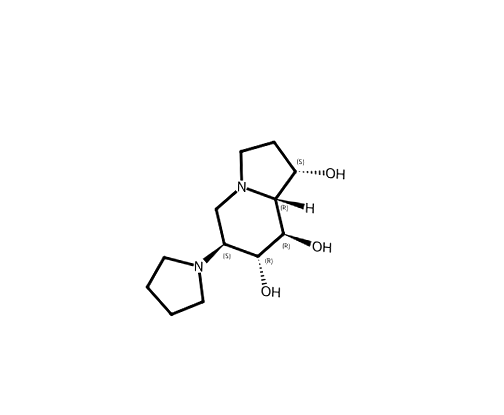 O[C@H]1[C@H](O)[C@@H](N2CCCC2)CN2CC[C@H](O)[C@H]12